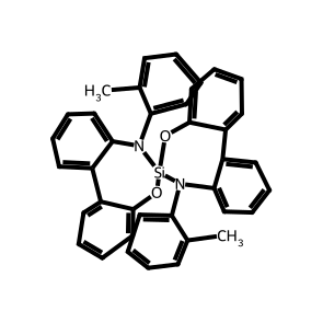 Cc1ccccc1N1c2ccccc2-c2ccccc2O[Si]12Oc1ccccc1-c1ccccc1N2c1ccccc1C